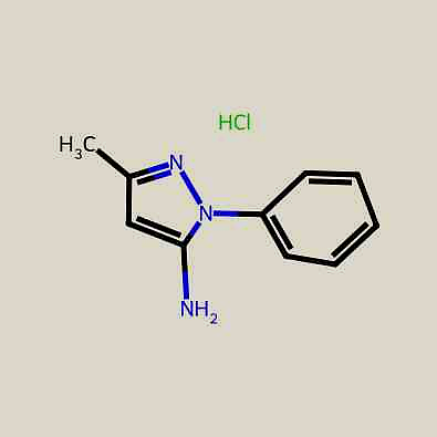 Cc1cc(N)n(-c2ccccc2)n1.Cl